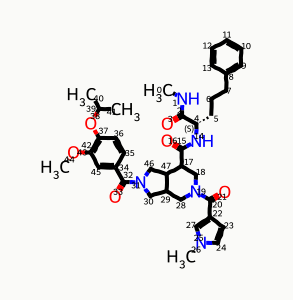 CNC(=O)[C@H](CCCc1ccccc1)NC(=O)C1CN(C(=O)c2ccn(C)c2)CC2CN(C(=O)c3ccc(OC(C)C)c(OC)c3)CC21